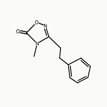 Cn1c(CCc2ccccc2)noc1=O